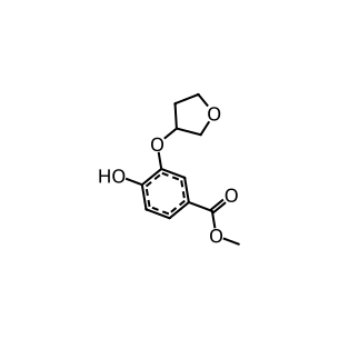 COC(=O)c1ccc(O)c(OC2CCOC2)c1